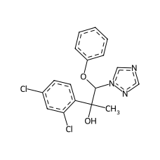 CC(O)(c1ccc(Cl)cc1Cl)C(Oc1ccccc1)n1cncn1